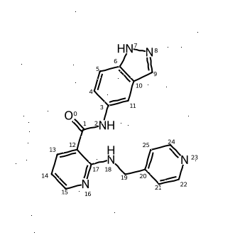 O=C(Nc1ccc2[nH]ncc2c1)c1cccnc1NCc1ccncc1